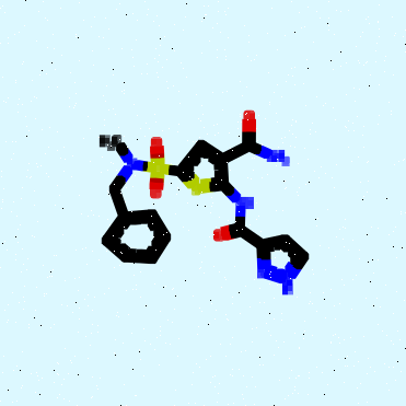 CN(Cc1ccccc1)S(=O)(=O)c1cc(C(N)=O)c(NC(=O)c2cc[nH]n2)s1